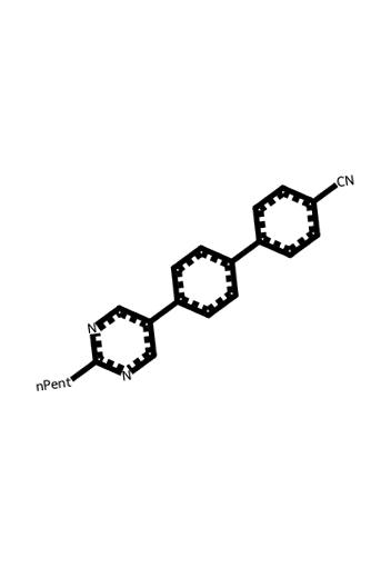 CCCCCc1ncc(-c2ccc(-c3ccc(C#N)cc3)cc2)cn1